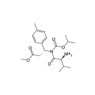 COC(=O)C[C@H](c1ccc(C)cc1)N(C(=O)OC(C)C)C(=O)[C@@H](N)C(C)C